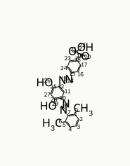 Cc1cccc(C)c1N=Nc1cc(N=Nc2ccc(S(=O)(=O)O)cc2)c(O)cc1O